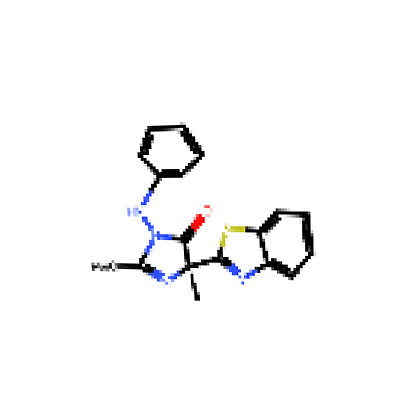 COC1=N[C@@](C)(c2nc3ccccc3s2)C(=O)N1Nc1ccccc1